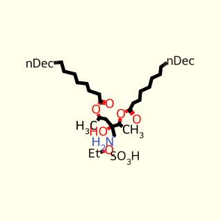 CCCCCCCCCCCCCCCCCC(=O)OC(C)CC(O)(CN)C(C)OC(=O)CCCCCCCCCCCCCCCCC.CCOS(=O)(=O)O